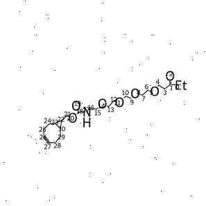 CCC(=O)CCOCCOCCOCCOCCNC(=O)OCC1C2CCC#CCCC21